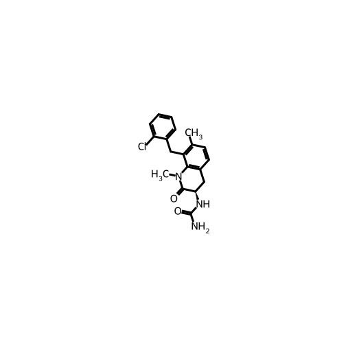 Cc1ccc2c(c1Cc1ccccc1Cl)N(C)C(=O)[C@H](NC(N)=O)C2